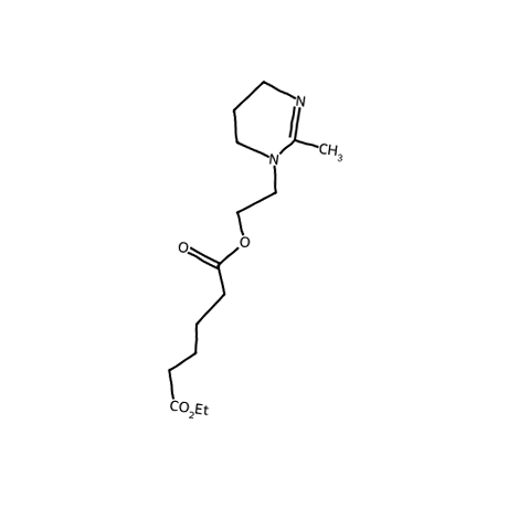 CCOC(=O)CCCCC(=O)OCCN1CCCN=C1C